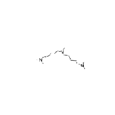 CN(C)CCCCCN(C)CCCCCN(C)C